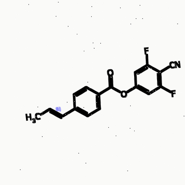 C/C=C/c1ccc(C(=O)Oc2cc(F)c(C#N)c(F)c2)cc1